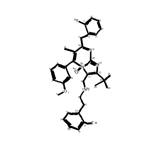 COc1cccc(C2=C(C)C(Cc3ccccc3F)=NC3=NC(C(C)(C)C)=C(CNCCc4ccccc4F)[N+]32[O-])c1